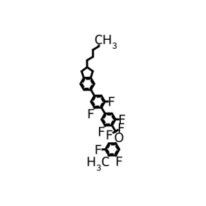 CCCCCC1Cc2ccc(-c3cc(F)c(-c4cc(F)c(C(F)(F)Oc5cc(F)c(C)c(F)c5)c(F)c4)c(F)c3)cc2C1